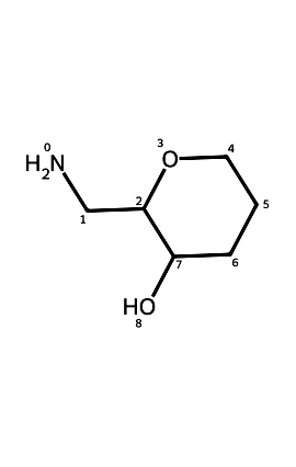 NCC1OCCCC1O